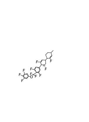 CC1C=C(F)C(C2C=C(F)C(c3cc(F)c(C(F)(F)Oc4cc(F)c(F)c(F)c4)c(F)c3)[C@@H](F)C2)CC1